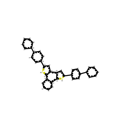 c1ccc(-c2ccc(-c3cc4c5cc(-c6ccc(-c7ccccc7)cc6)sc5c5ccccc5c4s3)cc2)cc1